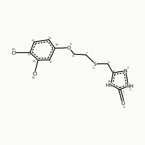 O=c1[nH]nc(CSCCOc2ccc(Cl)c(Cl)c2)[nH]1